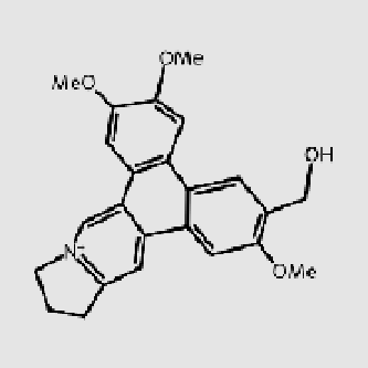 COc1cc2c(cc1CO)c1cc(OC)c(OC)cc1c1c[n+]3c(cc21)CCC3